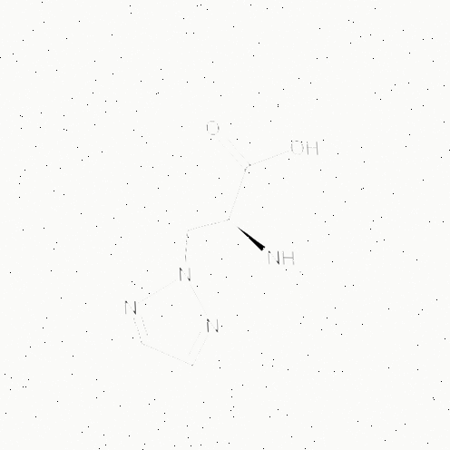 N[C@@H](Cn1nccn1)C(=O)O